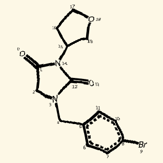 O=C1CN(Cc2ccc(Br)cc2)C(=O)N1C1CCOC1